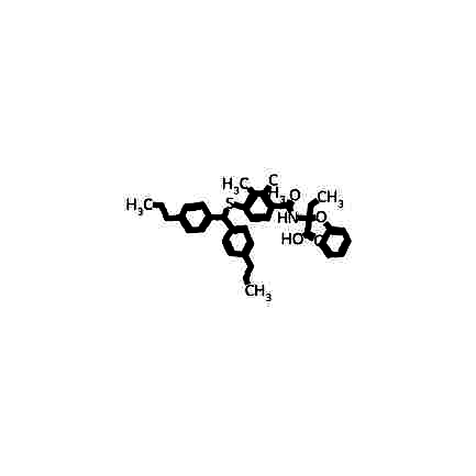 CCCc1ccc(C(Sc2ccc(C(=O)NC(CC)(Oc3ccccc3)C(=O)O)c(C)c2C)c2ccc(CCC)cc2)cc1